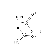 CCC(C)=O.O=S(O)O.[NaH]